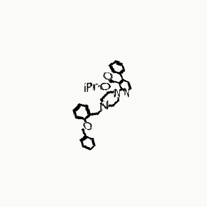 CC(C)OC(=O)c1c(-c2ccccc2)ccnc1N1CCN(Cc2ccccc2OCc2ccccc2)CC1